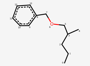 CCCC(C)COCc1ccccc1